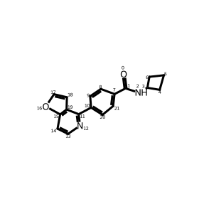 O=C(NC1CCC1)c1ccc(-c2nccc3occc23)cc1